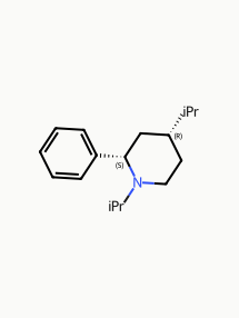 CC(C)[C@@H]1CCN(C(C)C)[C@H](c2ccccc2)C1